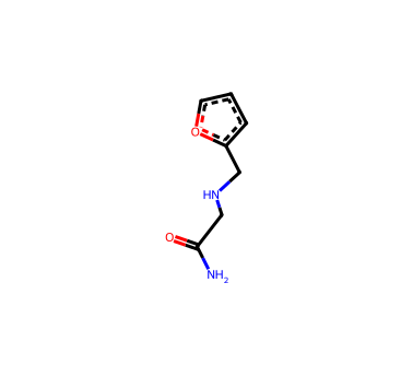 NC(=O)CNCc1ccco1